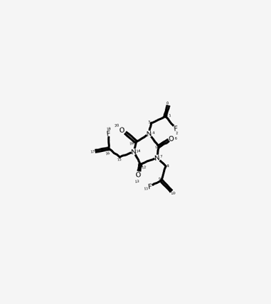 C=C(F)Cn1c(=O)n(CC(=C)F)c(=O)n(CC(=C)F)c1=O